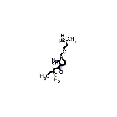 C=C(CC)C/C(Cl)=C1/C=CN(COCC[SiH](C)C)/C1=N/C